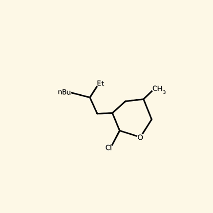 CCCCC(CC)CC1CC(C)COC1Cl